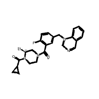 CC[C@H]1CN(C(=O)c2cc(CN3CN=Cc4ccccc43)ccc2F)CCN1C(=O)C1CC1